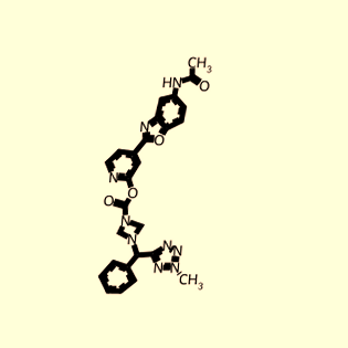 CC(=O)Nc1ccc2oc(-c3ccnc(OC(=O)N4CN(C(c5ccccc5)c5nnn(C)n5)C4)c3)nc2c1